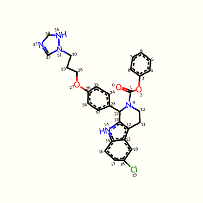 O=C(Oc1ccccc1)N1CCc2c([nH]c3ccc(Cl)cc23)C1c1ccc(OCCCN2C=NCN2)cc1